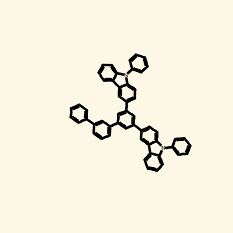 c1ccc(-c2cccc(-c3cc(-c4ccc5c(c4)c4ccccc4n5-c4ccccc4)cc(-c4ccc5c(c4)c4ccccc4n5-c4ccccc4)c3)c2)cc1